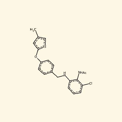 CC(=O)Nc1c(Cl)cccc1NCc1ccc(Oc2cc(C)cs2)cc1